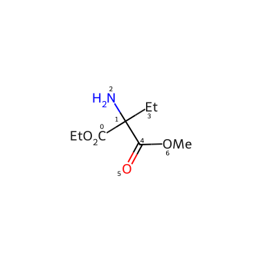 CCOC(=O)C(N)(CC)C(=O)OC